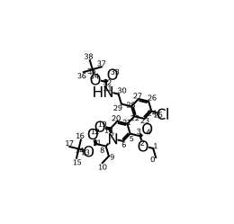 CCOC(=O)c1cn(C(CC)C(=O)OC(C)(C)C)c(=O)cc1-c1cc(Cl)ccc1CCNC(=O)OC(C)(C)C